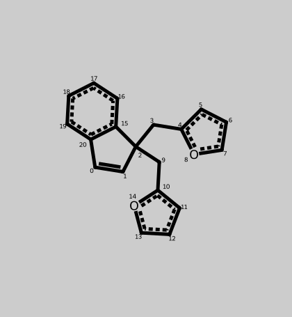 C1=CC(Cc2ccco2)(Cc2ccco2)c2ccccc21